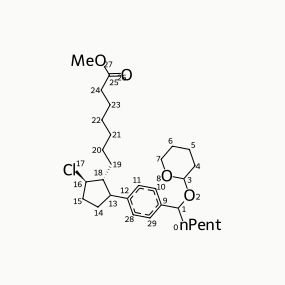 CCCCCC(OC1CCCCO1)c1ccc(C2CC[C@@H](Cl)[C@@H]2CCCCCCC(=O)OC)cc1